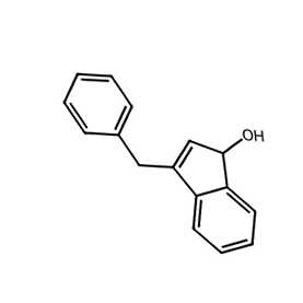 OC1C=C(Cc2ccccc2)c2ccccc21